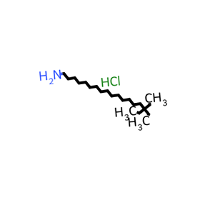 CCC(CC)(CC)CCCCCCCCCCCCCCCN.Cl